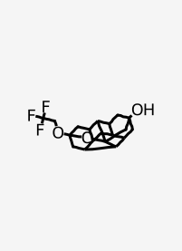 OC12CC3C4CC5C6CC7(OCC(F)(F)F)CC5C(C4C1)C(C2)(C7)C36